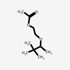 CC(=O)OCCOC(C)C(C)(C)C